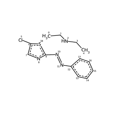 CCNCC.Clc1cnc(N=Nc2ccccc2)s1